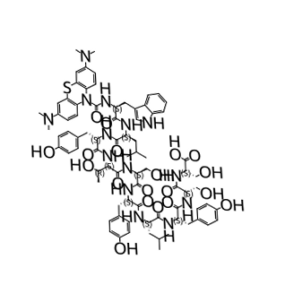 CC(C)C[C@H](NC(=O)[C@H](Cc1ccc(O)cc1)NC(=O)[C@H](CO)NC(=O)[C@@H](NC(=O)[C@H](Cc1ccc(O)cc1)NC(=O)[C@H](CC(C)C)NC(=O)[C@H](Cc1c[nH]c2ccccc12)NC(=O)N1c2ccc(N(C)C)cc2Sc2cc(N(C)C)ccc21)[C@@H](C)O)C(=O)N[C@@H](Cc1ccc(O)cc1)C(=O)N[C@@H](CO)C(=O)N[C@@H](CO)C(=O)O